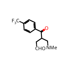 CNCC(CC=O)C(=O)c1ccc(C(F)(F)F)cc1